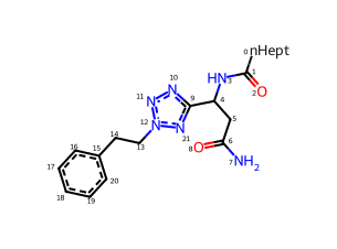 CCCCCCCC(=O)NC(CC(N)=O)c1nnn(CCc2ccccc2)n1